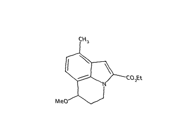 CCOC(=O)c1cc2c(C)ccc3c2n1CCC3OC